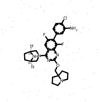 Nc1cc(-c2c(F)cc3c(N4C[C@H]5CC[C@@H](C4)N5)nc(OCC45CCCN4CCC5)nc3c2F)ccc1Cl